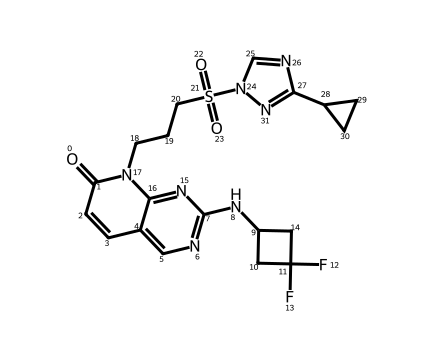 O=c1ccc2cnc(NC3CC(F)(F)C3)nc2n1CCCS(=O)(=O)n1cnc(C2CC2)n1